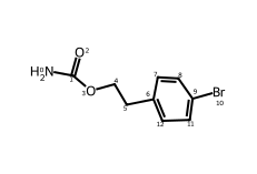 NC(=O)OCCc1ccc(Br)cc1